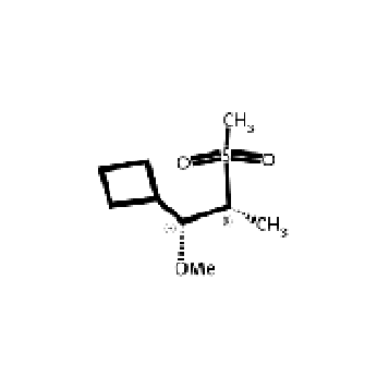 CO[C@H](C1CCC1)[C@@H](C)S(C)(=O)=O